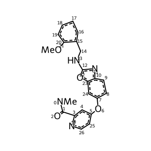 CNC(=O)c1cc(Oc2ccc3nc(NCc4ccccc4OC)oc3c2)ccn1